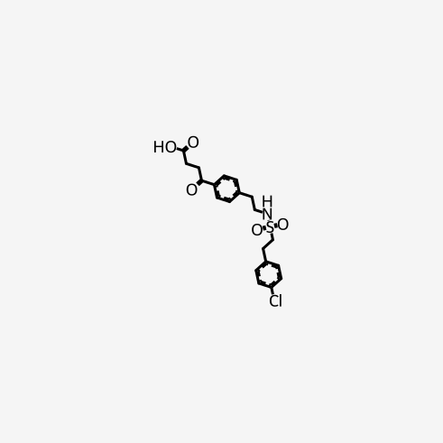 O=C(O)CCC(=O)c1ccc(CCNS(=O)(=O)CCc2ccc(Cl)cc2)cc1